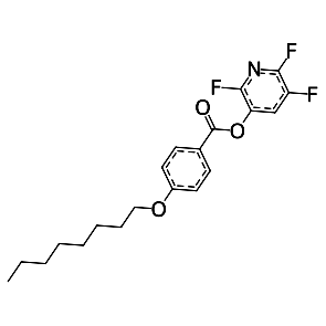 CCCCCCCCOc1ccc(C(=O)Oc2cc(F)c(F)nc2F)cc1